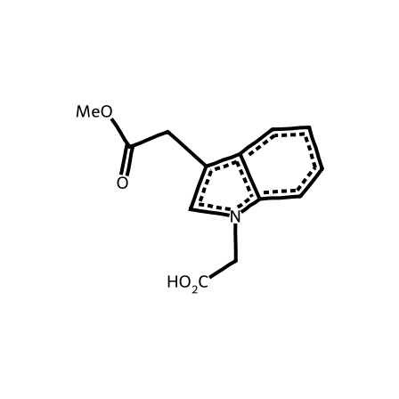 COC(=O)Cc1cn(CC(=O)O)c2ccccc12